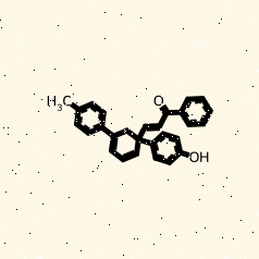 Cc1ccc(C2=CC=CC(C=CC(=O)c3ccccc3)(c3ccc(O)cc3)C2)cc1